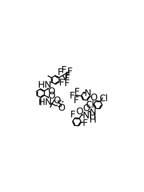 Cc1cc(C(F)(C(F)(F)F)C(F)(F)F)ccc1NC(=O)c1cccc(I)c1C(=O)NC(C)(C)CS(C)(=O)=O.O=C(NC(=O)c1c(F)cccc1F)Nc1ccc(Cl)c(Oc2ncc(C(F)(F)F)cc2Cl)c1